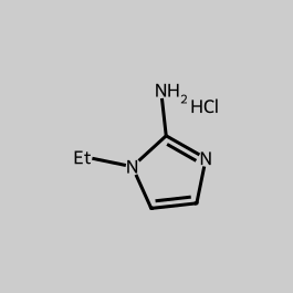 CCn1ccnc1N.Cl